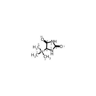 C[N+](C)(C)C1NC(=O)NC1=O